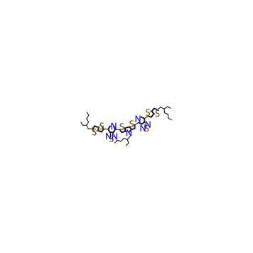 CCCCC(CC)Cc1cc2sc(-c3cnc(-c4cc5c(s4)c4sc(-c6ncc(-c7cc8sc(CC(CC)CCCC)cc8s7)c7nsnc67)cc4n5CC(CC)CCCC)c4nsnc34)cc2s1